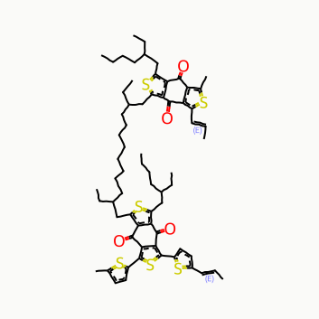 C/C=C/c1ccc(-c2sc(-c3ccc(C)s3)c3c2C(=O)c2c(CC(CC)CCCC)sc(CC(CC)CCCCCCCCC(CC)Cc4sc(CC(CC)CCCC)c5c4C(=O)c4c(/C=C/C)sc(C)c4C5=O)c2C3=O)s1